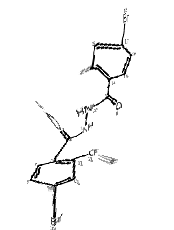 O=C(NNC(=O)c1ccc(Br)cc1C(F)(F)F)c1ccc(Br)cc1